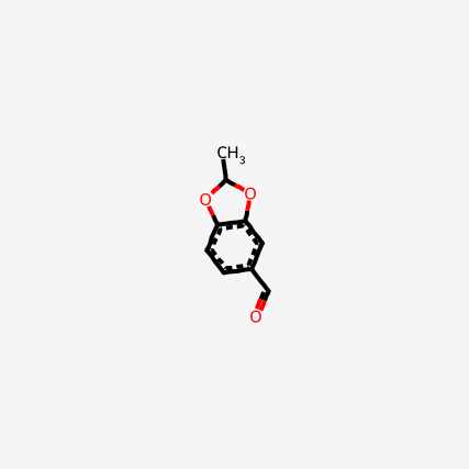 CC1Oc2ccc(C=O)cc2O1